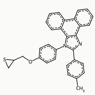 Cc1ccc(-c2nc3c4ccccc4c4ccccc4c3n2-c2ccc(OCC3CS3)cc2)cc1